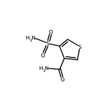 NC(=O)c1cscc1S(N)(=O)=O